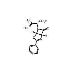 C=C(C)[C@H](C(=O)O)N1C(=O)[C@@H]2N=C(c3ccccc3)O[C@@H]21